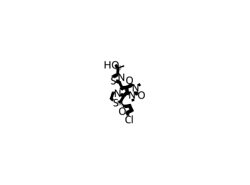 C[C@H](O)c1csc(-c2c3c(=O)n(C)c(=O)n(C)c3c3n2CCS[C@@H]3c2ccc(Cl)o2)n1